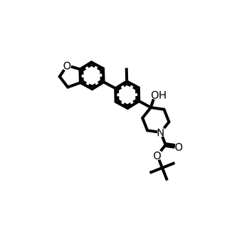 Cc1cc(C2(O)CCN(C(=O)OC(C)(C)C)CC2)ccc1-c1ccc2c(c1)CCO2